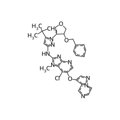 Cn1c(Nc2cc(C(C)(C)C)n(C3COCC3OCc3ccccc3)n2)nc2ncc(Oc3cnn4ccncc34)c(Cl)c21